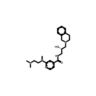 CN(C)CCN(C)c1cc(C(=O)NC[C@H](O)CN2CCc3ccccc3C2)ccn1